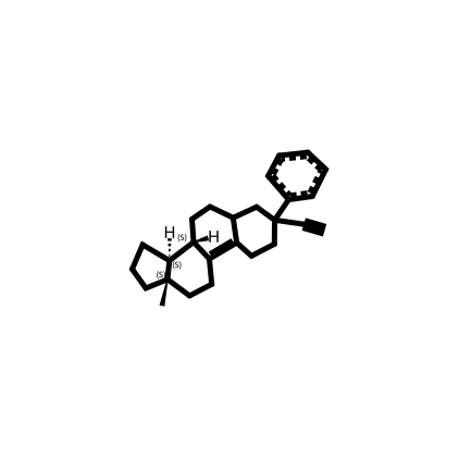 C#CC1(c2ccccc2)CCC2=C3CC[C@]4(C)CCC[C@H]4[C@@H]3CCC2C1